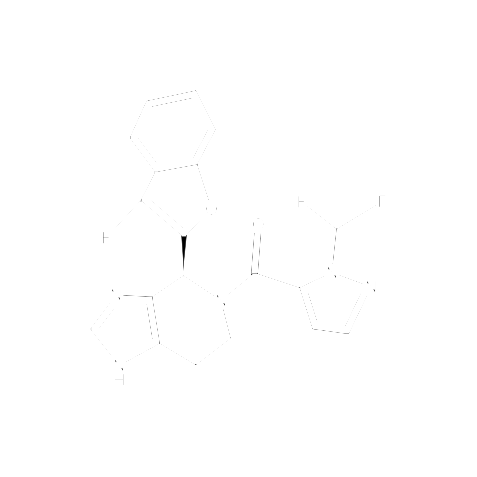 O=C(c1ccnn1C(F)F)N1CCc2[nH]cnc2[C@H]1c1oc2ccccc2c1F